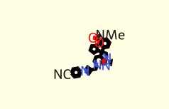 CNC(=O)OC1CCCC1C(Cn1ccnc1)(c1ccccc1)C1CCN(CC2CN(c3ccc(C#N)cc3)C2)CC1